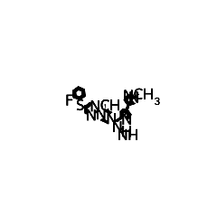 C[C@@H]1CN(/C(=N/C=N)c2cc(-c3cnn(C)c3)c[nH]2)CCN1c1ncc(Sc2ccccc2F)cn1